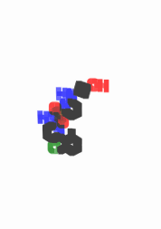 Cc1cccc(C)c1-c1nc(NS(=O)(=O)c2cccc(N[C@H]3C[C@H](O)C3)n2)ccc1Cl